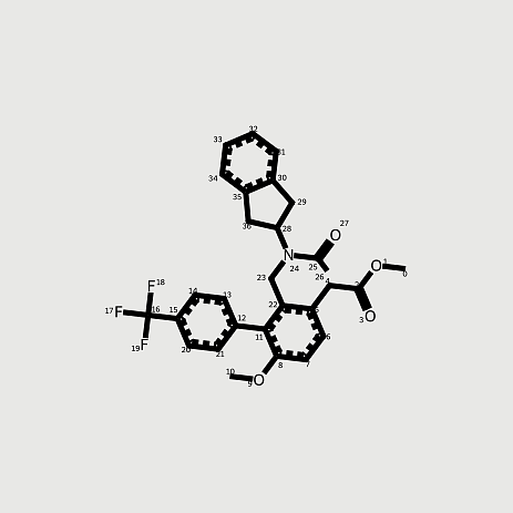 COC(=O)Cc1ccc(OC)c(-c2ccc(C(F)(F)F)cc2)c1CN(C(C)=O)C1Cc2ccccc2C1